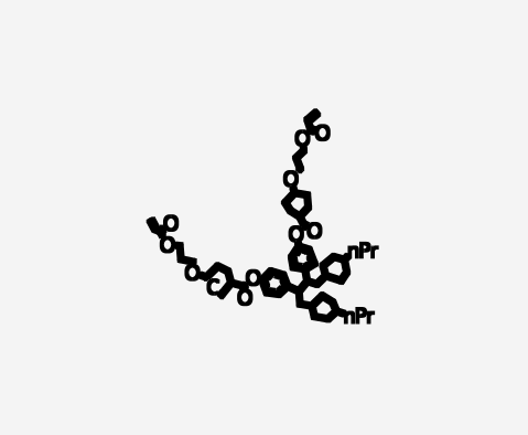 C=CC(=O)OCCCOC1CCC(C(=O)Oc2ccc(C(CC3CCC(CCC)CC3)C(CC3CCC(CCC)CC3)c3ccc(OC(=O)C4CCC(OCCCOC(=O)C=C)CC4)cc3)cc2)CC1